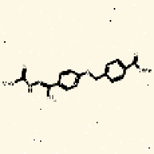 COC(=O)c1ccc(COc2ccc(/C(C)=N/NC(=S)SC)cc2)cc1